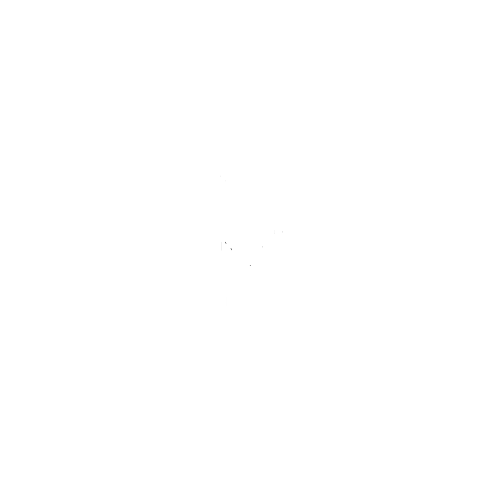 Fc1ccccc1C1(C(F)F)COCC(C=S)N1